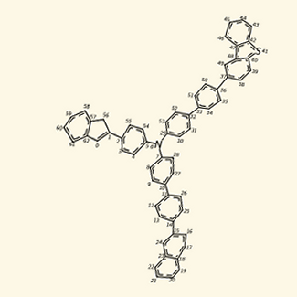 C1=C(c2ccc(N(c3ccc(-c4ccc(-c5ccc6ccccc6c5)cc4)cc3)c3ccc(-c4ccc(-c5ccc6sc7ccccc7c6c5)cc4)cc3)cc2)Cc2ccccc21